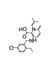 C=C1C=CC(NCc2cc(Cl)ccc2CC)=C(C(=O)O)N1C=C(C)C